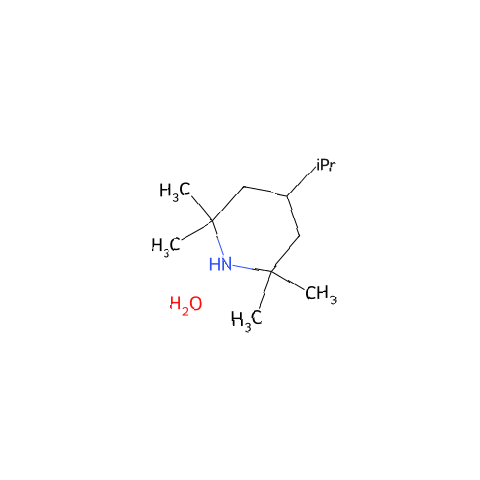 CC(C)C1CC(C)(C)NC(C)(C)C1.O